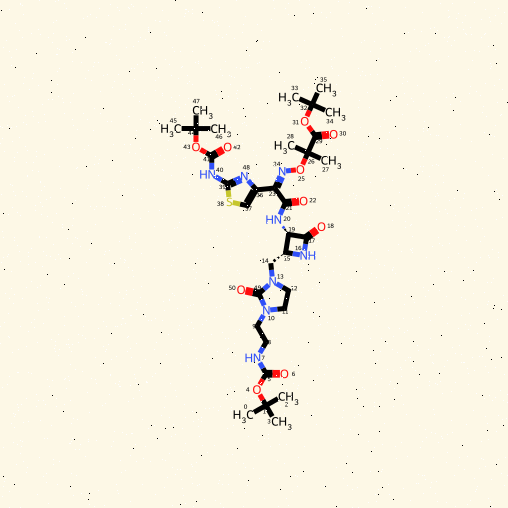 CC(C)(C)OC(=O)NCCN1CCN(C[C@H]2NC(=O)[C@H]2NC(=O)/C(=N\OC(C)(C)C(=O)OC(C)(C)C)c2csc(NC(=O)OC(C)(C)C)n2)C1=O